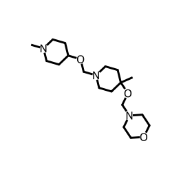 CN1CCC(OCN2CCC(C)(OCN3CCOCC3)CC2)CC1